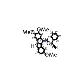 C#CC(O/N=C1/c2cc(OC)c(OC)cc2-c2[nH]c3ccc(OC)cc3c21)c1ccccc1